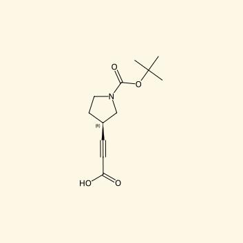 CC(C)(C)OC(=O)N1CC[C@H](C#CC(=O)O)C1